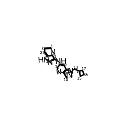 c1cnc2c(Nc3cnc4cnn(CC5CCC5)c4c3)n[nH]c2c1